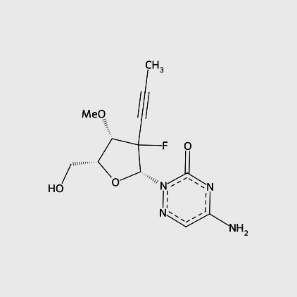 CC#CC1(F)[C@@H](OC)[C@@H](CO)O[C@H]1n1ncc(N)nc1=O